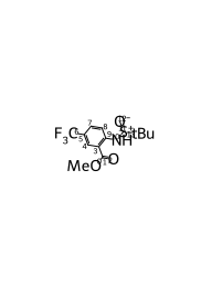 COC(=O)c1cc(C(F)(F)F)ccc1N[S+]([O-])C(C)(C)C